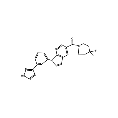 O=C(c1cnc2c(ccn2-c2cccc(-c3nn[nH]n3)c2)c1)N1CCC(F)(F)CC1